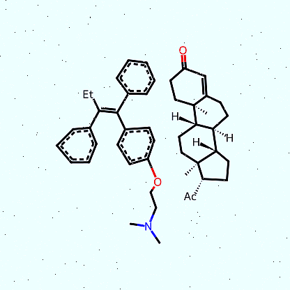 CC(=O)[C@H]1CC[C@H]2[C@@H]3CCC4=CC(=O)CC[C@]4(C)[C@H]3CC[C@]12C.CC/C(=C(\c1ccccc1)c1ccc(OCCN(C)C)cc1)c1ccccc1